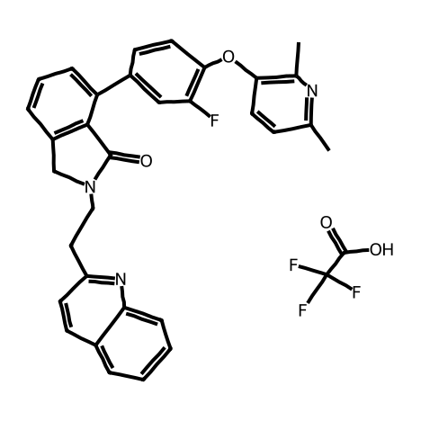 Cc1ccc(Oc2ccc(-c3cccc4c3C(=O)N(CCc3ccc5ccccc5n3)C4)cc2F)c(C)n1.O=C(O)C(F)(F)F